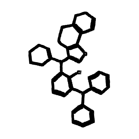 Clc1c(N(C2=CC=C=C=C2)c2ccccc2)cccc1N(C1=CCCCC1)c1coc2c1CCC1=C2C=CCC1